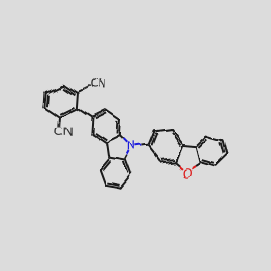 N#Cc1cccc(C#N)c1-c1ccc2c(c1)c1ccccc1n2-c1ccc2c(c1)oc1ccccc12